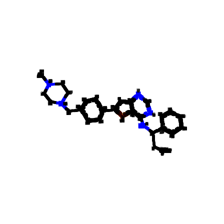 COCC(Nc1ncnc2cc(-c3ccc(CN4CCN(C(C)=O)CC4)cc3)sc12)c1ccccc1